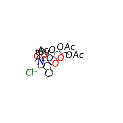 CC(=O)OC[C@H]1O[C@@H](Oc2cc3c(c4ccccc24)[C@H](CCl)CN3C(=O)OC(C)(C)C)[C@H](OC(C)=O)[C@H](OC(C)=O)[C@H]1OC(C)=O